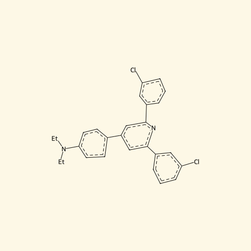 CCN(CC)c1ccc(-c2cc(-c3cccc(Cl)c3)nc(-c3cccc(Cl)c3)c2)cc1